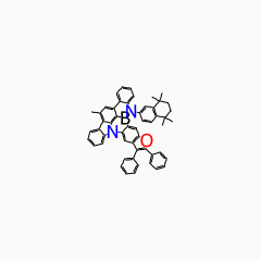 Cc1cc2c3c4c1c1ccccc1n4-c1cc4c(-c5ccccc5)c(-c5ccccc5)oc4cc1B3N(c1ccc3c(c1)C(C)(C)CCC3(C)C)c1ccccc1-2